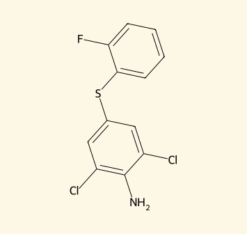 Nc1c(Cl)cc(Sc2ccccc2F)cc1Cl